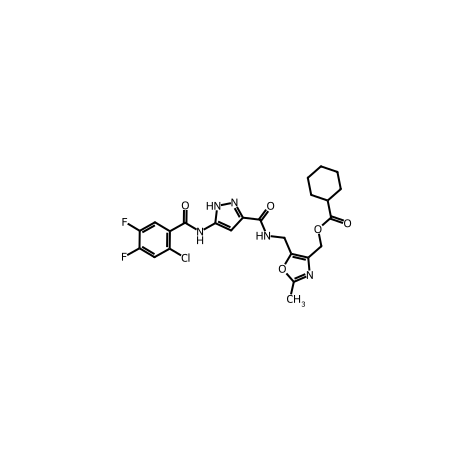 Cc1nc(COC(=O)C2CCCCC2)c(CNC(=O)c2cc(NC(=O)c3cc(F)c(F)cc3Cl)[nH]n2)o1